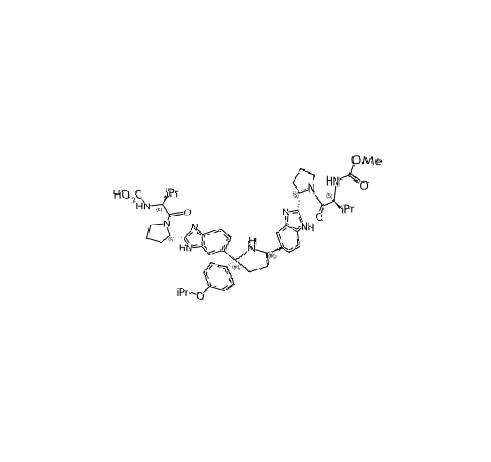 COC(=O)N[C@H](C(=O)N1CCC[C@H]1c1nc2cc([C@H]3CC[C@@](c4ccc(OC(C)C)cc4)(c4ccc5nc([C@@H]6CCCN6C(=O)[C@@H](NC(=O)O)C(C)C)[nH]c5c4)N3)ccc2[nH]1)C(C)C